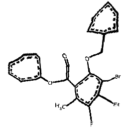 CCc1c(F)c(C)c(C(=O)Oc2ccccc2)c(OCc2ccccc2)c1Br